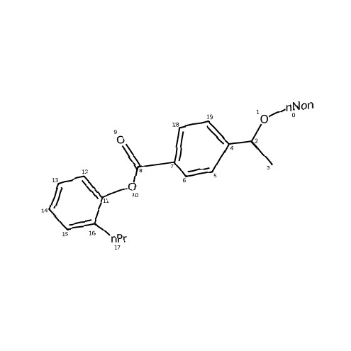 CCCCCCCCCOC(C)c1ccc(C(=O)Oc2ccccc2CCC)cc1